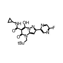 CC(C)(C)Cn1c(=O)c(C(=O)NC2CC2)c(O)n2nc(-c3cnc(F)cn3)cc12